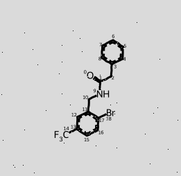 O=C(Cc1ccccc1)NCc1cc(C(F)(F)F)ccc1Br